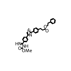 COC(=O)NC(=N)c1ccc(-c2cn(C)c(-c3ccc(CCC(=O)OCCc4ccccc4)cc3)n2)cc1